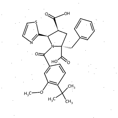 COc1cc(C(=O)N2[C@@H](c3nccs3)[C@@H](C(=O)O)C[C@@]2(Cc2ccccc2)C(=O)O)ccc1C(C)(C)C